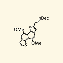 CCCCCCCCCCCCc1cc2cc(OC)c3c4sccc4cc(OC)c3c2s1